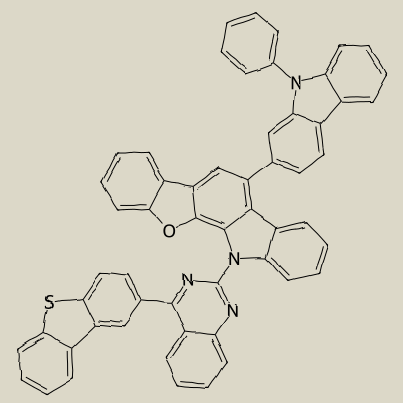 c1ccc(-n2c3ccccc3c3ccc(-c4cc5c6ccccc6oc5c5c4c4ccccc4n5-c4nc(-c5ccc6sc7ccccc7c6c5)c5ccccc5n4)cc32)cc1